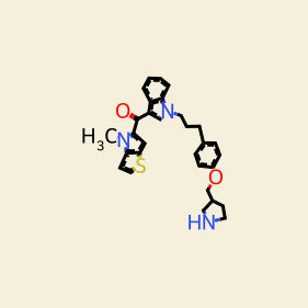 Cn1c(C(=O)c2cn(CCCc3ccc(OCC4CCNC4)cc3)c3ccccc23)cc2sccc21